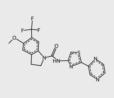 COc1cc2c(cc1C(F)(F)F)N(C(=O)Nc1csc(-c3cnccn3)n1)CC2